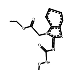 CCOC(=O)Cn1c(=NC(=O)NOC)sc2ccccc21